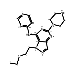 CCOCCn1ncc2nc(N3CCNCC3)nc(Nc3ccncn3)c21